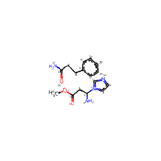 COC(=O)CC(N)n1ccnc1.NC(=O)CCc1ccccc1